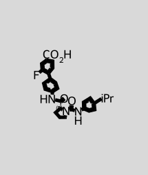 CC(C)c1ccc(NC(=O)N2CCC[C@@H]2C(=O)Nc2ccc(-c3ccc(C(=O)O)cc3F)cc2)cc1